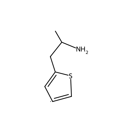 CC(N)Cc1c[c]cs1